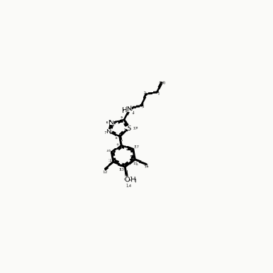 CCCCNc1nnc(-c2cc(C)c(O)c(C)c2)s1